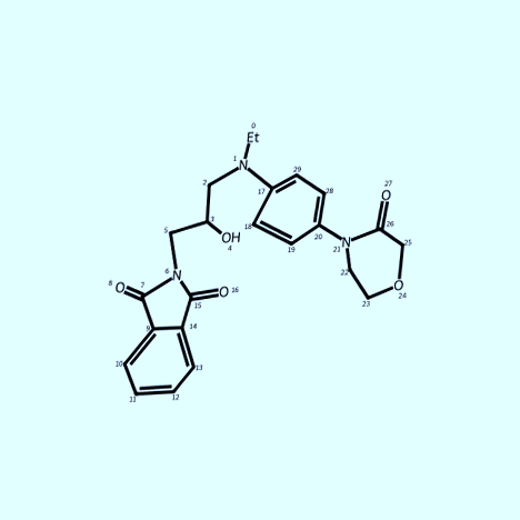 CCN(CC(O)CN1C(=O)c2ccccc2C1=O)c1ccc(N2CCOCC2=O)cc1